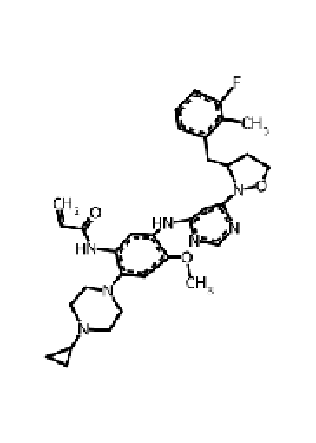 C=CC(=O)Nc1cc(Nc2cc(N3OCCC3Cc3cccc(F)c3C)ncn2)c(OC)cc1N1CCN(C2CC2)CC1